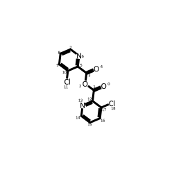 O=C(OC(=O)c1ncccc1Cl)c1ncccc1Cl